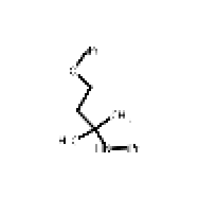 CC(C)NC(C)(C)CCOC(C)C